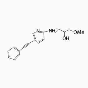 COCC(O)CCNc1ccc(C#Cc2ccccc2)cn1